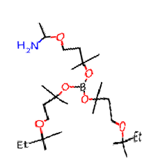 CCC(C)(C)OCCC(C)(C)OB(OC(C)(C)CCOC(C)N)OC(C)(C)CCOC(C)(C)CC